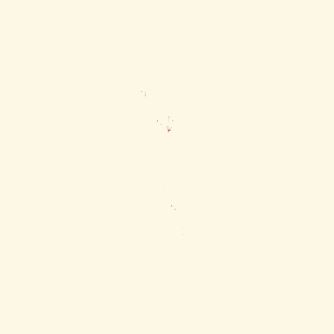 N#Cc1ccc(-c2cccc(-n3c4ccccc4c4ccccc43)c2)cc1-c1cccc(C#N)c1-n1c2ccccc2c2ccccc21